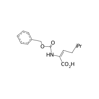 CC(C)CC=C(NC(=O)OCc1ccccc1)C(=O)O